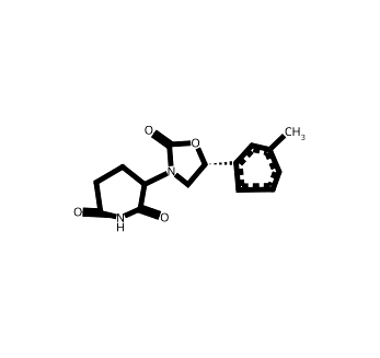 Cc1cccc([C@@H]2CN(C3CCC(=O)NC3=O)C(=O)O2)c1